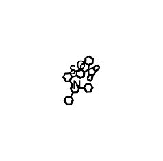 c1ccc(-c2cc(-c3ccccc3)nc(-c3cccc4sc5c6c(ccc5c34)C3(c4ccccc4O6)c4ccccc4-c4ccccc43)c2)cc1